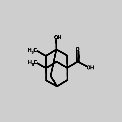 CC1C2(C)CC3CC(C(=O)O)(C2)CC1(O)C3